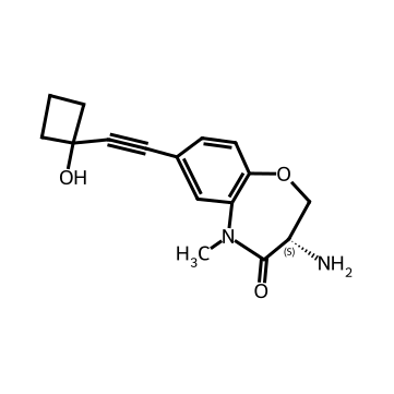 CN1C(=O)[C@@H](N)COc2ccc(C#CC3(O)CCC3)cc21